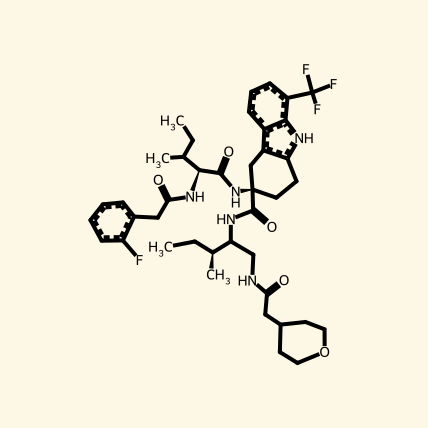 CCC(C)[C@H](NC(=O)Cc1ccccc1F)C(=O)N[C@]1(C(=O)NC(CNC(=O)CC2CCOCC2)[C@@H](C)CC)CCc2[nH]c3c(C(F)(F)F)cccc3c2C1